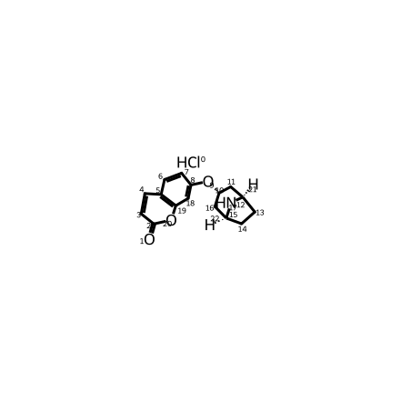 Cl.O=c1ccc2ccc(O[C@@H]3C[C@H]4CC[C@@H](C3)N4)cc2o1